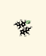 CCCC(CC)(CC)C1=[C]([Zr+2][C]2=C(C(CC)(CC)CCC)C(C)=C(C)C2)CC(C)=C1C.[Cl-].[Cl-]